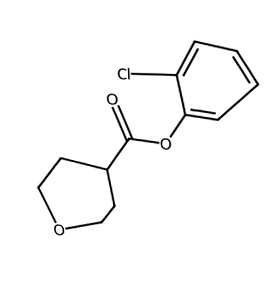 O=C(Oc1ccccc1Cl)C1CCOCC1